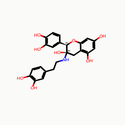 Oc1cc(O)c2c(c1)O[C@H](c1ccc(O)c(O)c1)[C@@](O)(NCCc1ccc(O)c(O)c1)C2